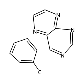 Clc1ccccc1.c1cnc2ncncc2n1